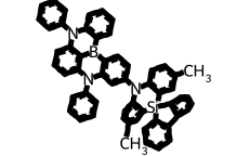 Cc1ccc2c(c1)[Si]1(c3ccccc3-c3ccccc31)c1cc(C)ccc1N2c1ccc2c(c1)N(c1ccccc1)c1cccc3c1B2c1ccccc1N3c1ccccc1